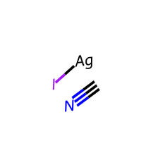 C#N.[Ag][I]